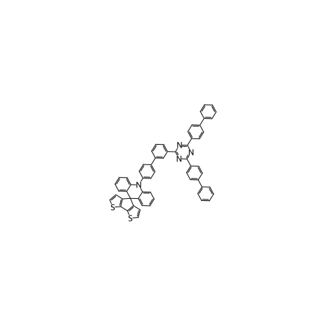 c1ccc(-c2ccc(-c3nc(-c4ccc(-c5ccccc5)cc4)nc(-c4cccc(-c5ccc(N6c7ccccc7C7(c8ccccc86)c6ccsc6-c6sccc67)cc5)c4)n3)cc2)cc1